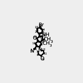 CC1(C)c2cc(N3CCC(=O)CC3)c(C#N)cc2C(=O)c2c1[nH]c1cc(Br)ccc21